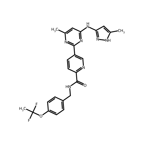 Cc1cc(Nc2cc(C)[nH]n2)nc(-c2ccc(C(=O)NCc3ccc(OC(C)(F)F)cc3)nc2)n1